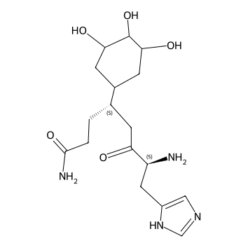 NC(=O)CC[C@@H](CC(=O)[C@@H](N)Cc1cnc[nH]1)C1CC(O)C(O)C(O)C1